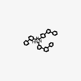 c1ccc(-c2cccc(-c3ccc(C4=NC(c5cccc(-c6ccccc6)c5)NC(c5cccc(-c6cccc(-c7ccccc7)c6)c5)=N4)cc3)c2)cc1